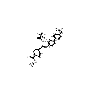 CC(C)(C)OC(=O)N1CCC(CNc2ccc(-c3ccc(S(C)(=O)=O)cc3)nc2)CC1.O=C(O)C(F)(F)F